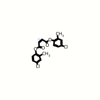 Cc1cc(Cl)ccc1OC(=O)/C=C\C(=O)Oc1ccc(Cl)cc1C